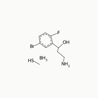 B.CS.NCCC(O)c1cc(Br)ccc1F